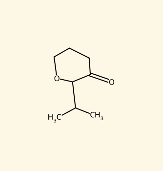 CC(C)C1OCCCC1=O